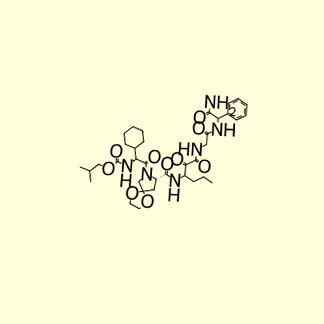 CCCC(NC(=O)[C@@H]1CC2(CN1C(=O)[C@@H](NC(=O)OCC(C)C)C1CCCCC1)OCCO2)C(=O)C(=O)NCC(=O)NC(C(N)=O)c1ccccc1